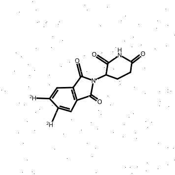 [2H]c1cc2c(cc1[2H])C(=O)N(C1CCC(=O)NC1=O)C2=O